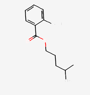 CCCCC(C)CCCOC(=O)c1ccccc1C(=O)O